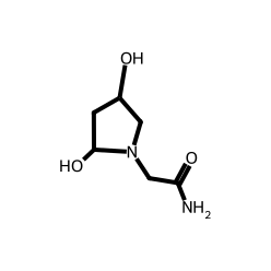 NC(=O)CN1CC(O)CC1O